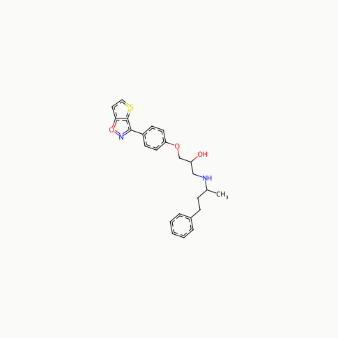 CC(CCc1ccccc1)NCC(O)COc1ccc(-c2noc3ccsc23)cc1